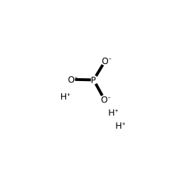 [H+].[H+].[H+].[O-]P([O-])[O-]